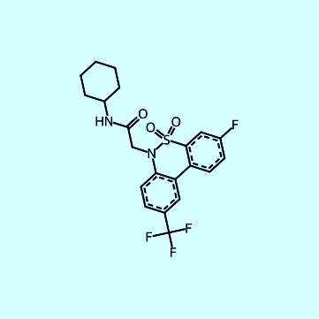 O=C(CN1c2ccc(C(F)(F)F)cc2-c2ccc(F)cc2S1(=O)=O)NC1CCCCC1